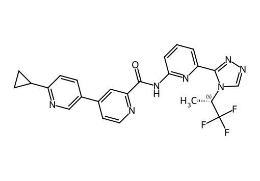 C[C@H](n1cnnc1-c1cccc(NC(=O)c2cc(-c3ccc(C4CC4)nc3)ccn2)n1)C(F)(F)F